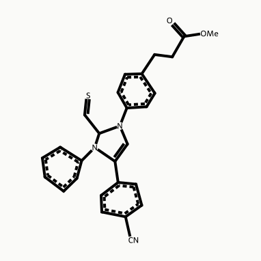 COC(=O)CCc1ccc(N2C=C(c3ccc(C#N)cc3)N(c3ccccc3)C2C=S)cc1